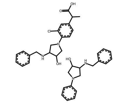 CC(C(=O)O)c1ccc(N2CC(O)C(NCc3ccccc3)C2)c(Cl)c1.OC1CN(c2ccccc2)CC1NCc1ccccc1